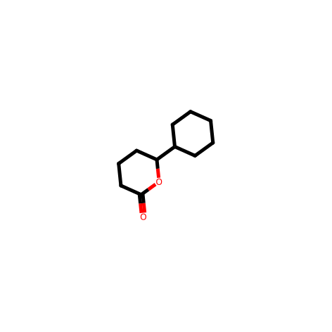 O=C1CCCC(C2CCCCC2)O1